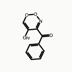 O=C(C1=NOOC=C1O)c1ccccc1